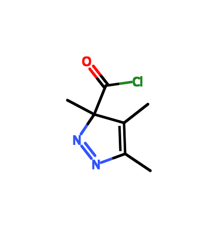 CC1=C(C)C(C)(C(=O)Cl)N=N1